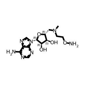 CN(CCON)C[C@H]1O[C@@H](n2cnc3c(N)ncnc32)[C@H](O)[C@@H]1O